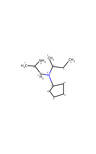 CCC(C)N([SiH2]C(C)[SiH3])C1CCCC1